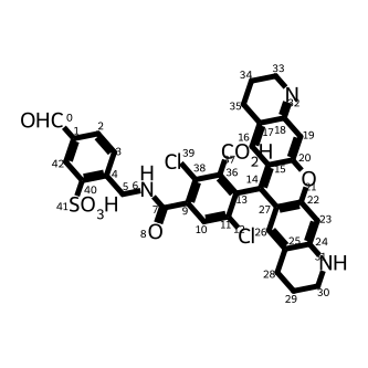 O=Cc1ccc(CNC(=O)c2cc(Cl)c(C3=c4cc5c(cc4Oc4cc6c(cc43)CCCN6)=NCCC5)c(C(=O)O)c2Cl)c(S(=O)(=O)O)c1